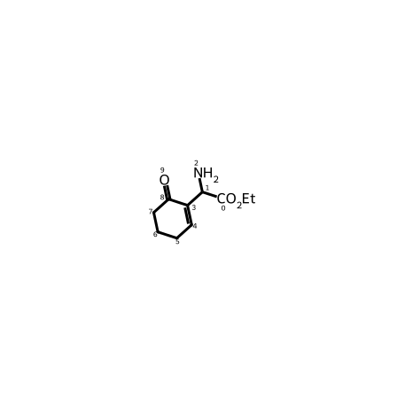 CCOC(=O)C(N)C1=CCCCC1=O